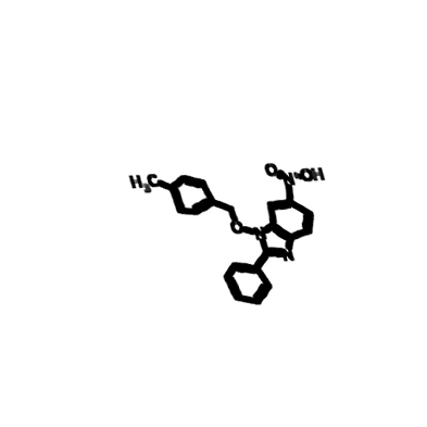 Cc1ccc(COn2c(-c3ccccc3)nc3ccc([N+](=O)O)cc32)cc1